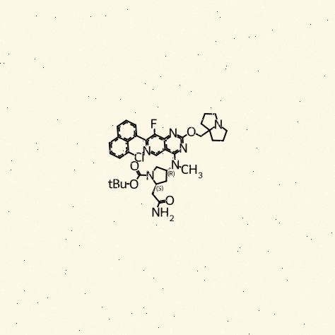 CN(c1nc(OCC23CCCN2CCC3)nc2c(F)c(-c3cccc4cccc(Cl)c34)ncc12)[C@@H]1C[C@@H](CC(N)=O)N(C(=O)OC(C)(C)C)C1